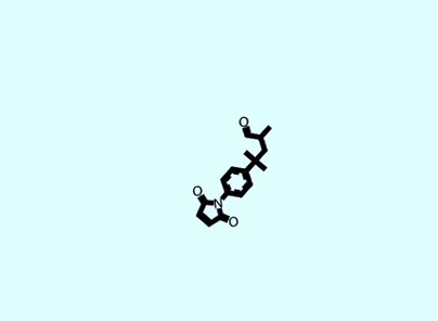 CC(C=O)CC(C)(C)c1ccc(N2C(=O)C=CC2=O)cc1